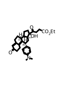 CCOC(=O)CCC(=O)[C@@]1(O)CC[C@H]2[C@@H]3CCC4=CC(=O)CCC4=C3[C@@H](c3ccc(N(C)C)cc3)C[C@@]21C